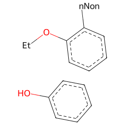 CCCCCCCCCc1ccccc1OCC.Oc1ccccc1